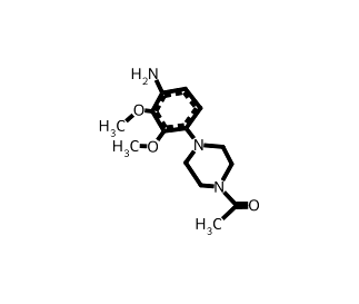 COc1c(N)ccc(N2CCN(C(C)=O)CC2)c1OC